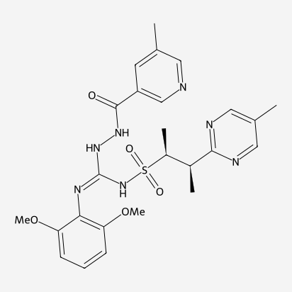 COc1cccc(OC)c1/N=C(/NNC(=O)c1cncc(C)c1)NS(=O)(=O)[C@@H](C)[C@H](C)c1ncc(C)cn1